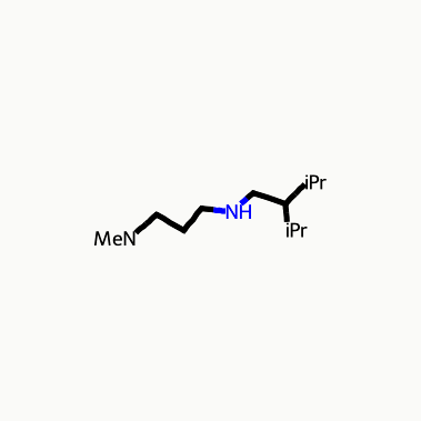 CNCCCNCC(C(C)C)C(C)C